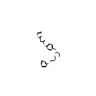 Cc1csc(CC(=O)Nc2ccc(C[C@@H]3CC[C@H]([C@H](O)COc4ccccc4)N3)cc2)n1